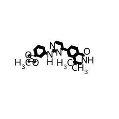 CC1(C)CNC(=O)c2ccc(-c3ccnc(Nc4cccc(S(C)(=O)=O)c4)n3)cc21